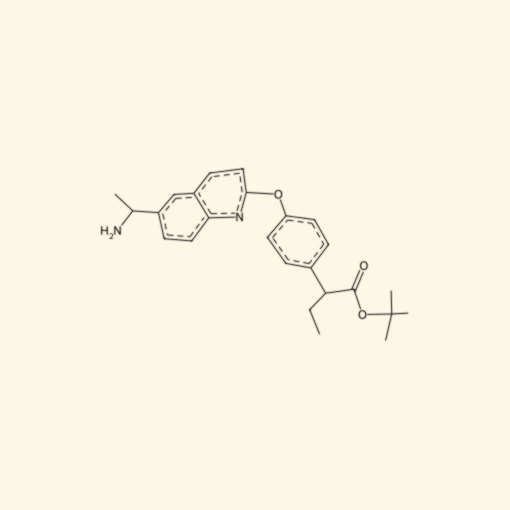 CCC(C(=O)OC(C)(C)C)c1ccc(Oc2ccc3cc(C(C)N)ccc3n2)cc1